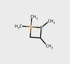 CB1C(C)CS1(C)C